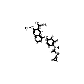 COc1cc2nccc(Oc3ccc(NC(=O)NC4CC4)c(F)c3F)c2cc1C(N)=O